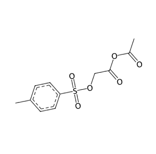 CC(=O)OC(=O)COS(=O)(=O)c1ccc(C)cc1